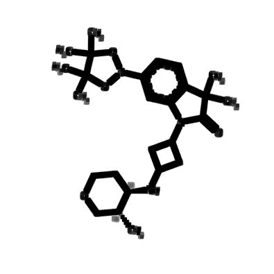 C[C@@H]1COCC[C@H]1NC1CC(N2C(=O)C(C)(C)c3ccc(B4OC(C)(C)C(C)(C)O4)cc32)C1